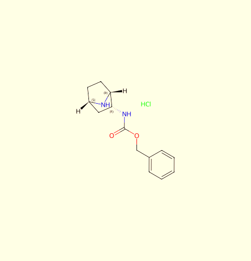 Cl.O=C(N[C@@H]1C[C@@H]2CC[C@H]1N2)OCc1ccccc1